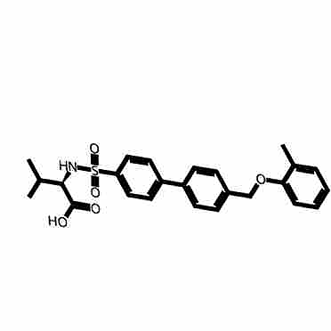 Cc1ccccc1OCc1ccc(-c2ccc(S(=O)(=O)N[C@@H](C(=O)O)C(C)C)cc2)cc1